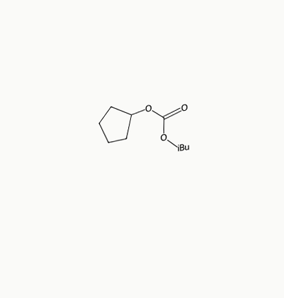 CCC(C)OC(=O)OC1CCCC1